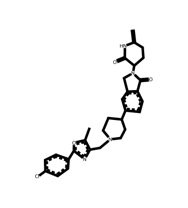 C=C1CCC(N2Cc3cc(C4CCN(Cc5nc(-c6ccc(Cl)cc6)oc5C)CC4)ccc3C2=O)C(=O)N1